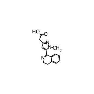 Cn1nc(CC(=O)O)cc1C1=NCCc2ccccc21